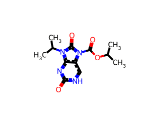 CC(C)OC(=O)n1c(=O)n(C(C)C)c2nc(=O)[nH]cc21